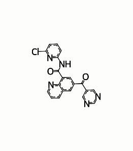 O=C(c1cncnc1)c1cc(C(=O)Nc2cccc(Cl)n2)c2ncccc2c1